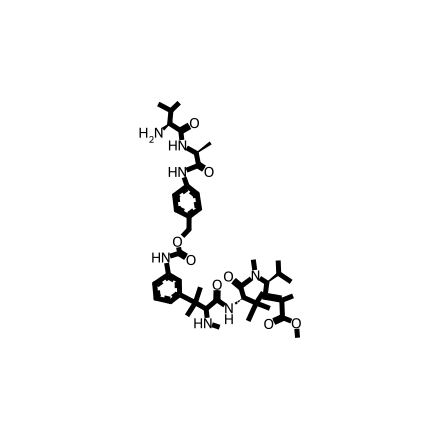 CNC(C(=O)N[C@H](C(=O)N(C)[C@H](/C=C(\C)C(=O)OC)C(C)C)C(C)(C)C)C(C)(C)c1cccc(NC(=O)OCc2ccc(NC(=O)[C@H](C)NC(=O)[C@@H](N)C(C)C)cc2)c1